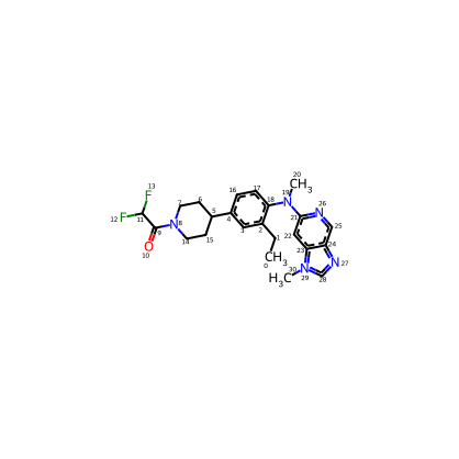 CCc1cc(C2CCN(C(=O)C(F)F)CC2)ccc1N(C)c1cc2c(cn1)ncn2C